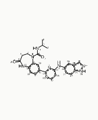 CC(C)NC(=O)N1CCC(=O)Nc2ccc(-c3nccc(Nc4ccc5[nH]ncc5c4)n3)cc21